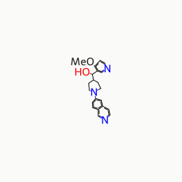 COc1ccncc1C(O)C1CCN(c2ccc3cnccc3c2)CC1